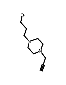 C#CCN1CCN(CCC[O])CC1